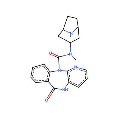 CN(C(=O)N1c2ccccc2C(=O)Nc2cccnc21)C1CC2CCC(C1)N2C